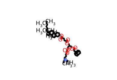 CCN(CC)CCCOC(=O)OCC(COC(=O)CCC(=O)O[C@H]1CC[C@@]2(C)C(=CC[C@H]3[C@@H]4CC[C@H]([C@H](C)CCCC(C)C)[C@@]4(C)CC[C@@H]32)C1)COC(=O)CC12CC3CC(CC(C3)C1)C2